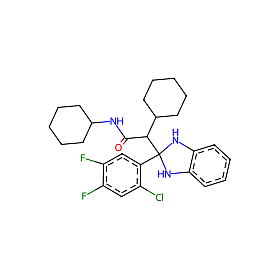 O=C(NC1CCCCC1)C(C1CCCCC1)C1(c2cc(F)c(F)cc2Cl)Nc2ccccc2N1